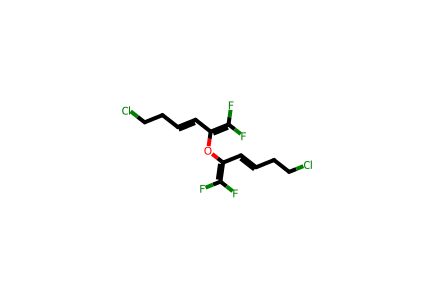 FC(F)=C(C=CCCCl)OC(C=CCCCl)=C(F)F